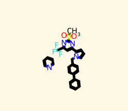 CS(=O)(=O)c1nc(-c2cccn2Cc2ccc(-c3ccccc3)cc2)cc(C(F)(F)F)n1.c1ccncc1